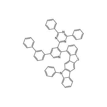 c1ccc(-c2cccc(-c3cnc(-c4cccc5sc6cc7c8ccccc8n(-c8ccccc8)c7cc6c45)c(-c4nc(-c5ccccc5)nc(-c5ccccc5)n4)c3)c2)cc1